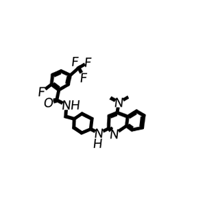 CN(C)c1cc(NC2CCC(CNC(=O)c3cc(C(F)(F)F)ccc3F)CC2)nc2ccccc12